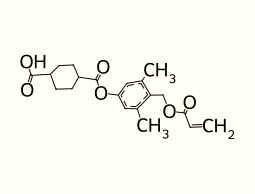 C=CC(=O)OCc1c(C)cc(OC(=O)C2CCC(C(=O)O)CC2)cc1C